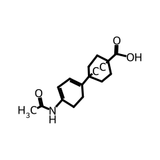 CC(=O)NC1=CC=C(C23CCC(C(=O)O)(CC2)CC3)CC1